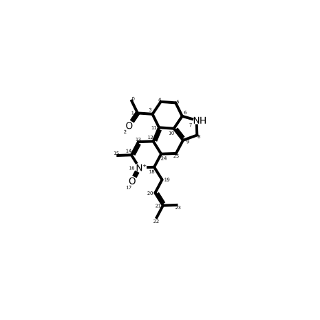 CC(=O)C1CCC2NCC3=C2C1=C1C=C(C)[N+](=O)C(CC=C(C)C)C1C3